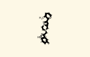 Cc1cccnc1-c1cc2n(n1)CCN(Cc1n[nH]c3ccc(F)cc13)C2